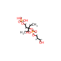 CCC(CC)(CCOP(=O)(O)O)OP(=O)(O)OCCCO